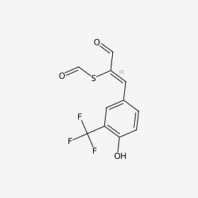 O=CS/C(C=O)=C\c1ccc(O)c(C(F)(F)F)c1